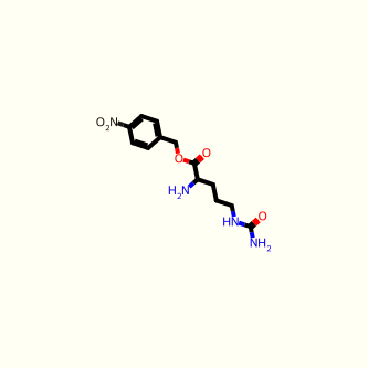 NC(=O)NCCCC(N)C(=O)OCc1ccc([N+](=O)[O-])cc1